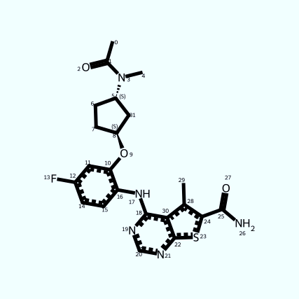 CC(=O)N(C)[C@H]1CC[C@H](Oc2cc(F)ccc2Nc2ncnc3sc(C(N)=O)c(C)c23)C1